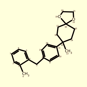 Cc1ccccc1Cc1ccc(C2(C)CCC3(CC2)OCCO3)cc1